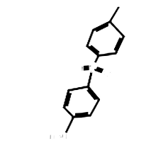 CCCCc1ccc(S(=O)(=O)c2ccc(C)cc2)cc1